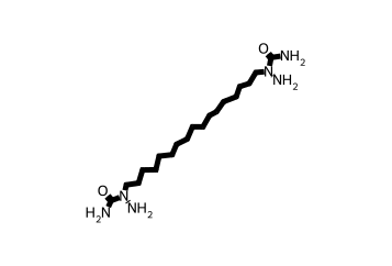 NC(=O)N(N)CCCCCCCCCCCCCCCCCN(N)C(N)=O